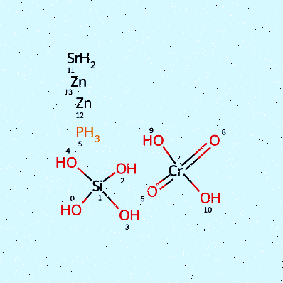 O[Si](O)(O)O.P.[O]=[Cr](=[O])([OH])[OH].[SrH2].[Zn].[Zn]